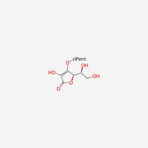 CCCCCOC1=C(O)C(=O)O[C@@H]1[C@@H](O)CO